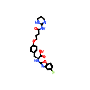 O=C(CCCOc1ccc(C[C@H](Nc2nc3cc(F)ccc3o2)C(=O)O)cc1)NC1=NCCCN1